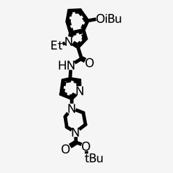 CCn1c(C(=O)Nc2ccc(N3CCN(C(=O)OC(C)(C)C)CC3)nc2)cc2c(OCC(C)C)cccc21